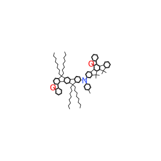 CCCCCCCCC1(CCCCCCCC)c2cc(N(c3ccc(C)cc3)c3ccc4c(c3)C(C)(C)c3c5c(c6c(oc7ccccc76)c3-4)-c3ccccc3C5(C)C)ccc2-c2cc3c(cc21)-c1c(ccc2oc4ccccc4c12)C3(CCCCCCCC)CCCCCCCC